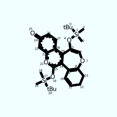 CC(C)(C)[Si](C)(C)OC1=COC2=C(C=CCC2)c2c(O[Si](C)(C)C(C)(C)C)oc3cc(=O)ccc-3c21